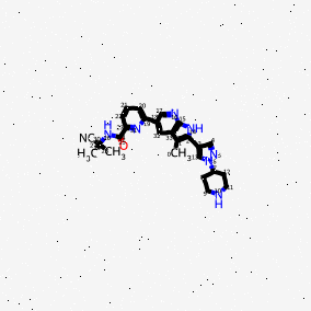 Cc1c(-c2cnn(C3CCNCC3)c2)[nH]c2ncc(-c3cccc(C(=O)NC(C)(C)C#N)n3)cc12